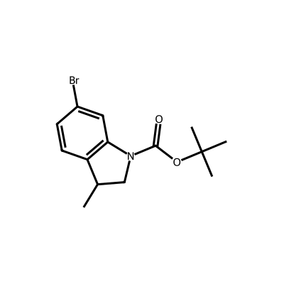 CC1CN(C(=O)OC(C)(C)C)c2cc(Br)ccc21